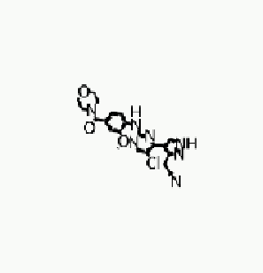 COc1cc(C(=O)N2CCOCC2)ccc1Nc1ncc(Cl)c(-c2c[nH]nc2CC#N)n1